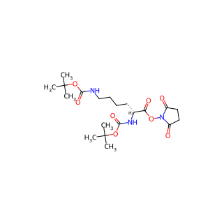 CC(C)(C)OC(=O)NCCCC[C@@H](NC(=O)OC(C)(C)C)C(=O)ON1C(=O)CCC1=O